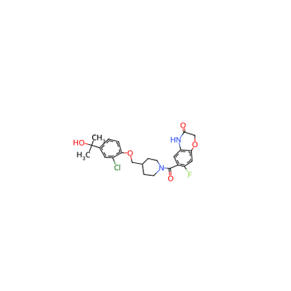 CC(C)(O)c1ccc(OCC2CCN(C(=O)c3cc4c(cc3F)OCC(=O)N4)CC2)c(Cl)c1